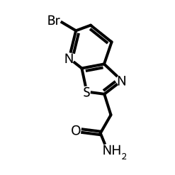 NC(=O)Cc1nc2ccc(Br)nc2s1